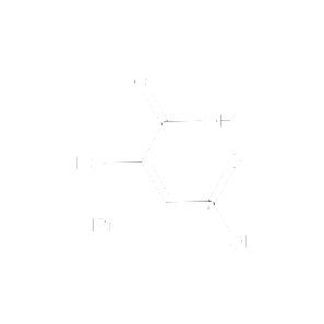 Br.CC(=CC(=O)O)C(=O)O